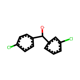 [O]C(c1ccc(Cl)cc1)c1cccc(Cl)c1